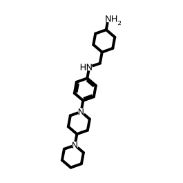 NC1CCC(CNc2ccc(N3CCC(N4CCCCC4)CC3)cc2)CC1